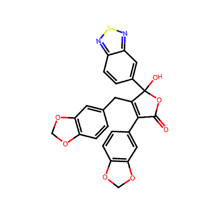 O=C1OC(O)(c2ccc3nsnc3c2)C(Cc2ccc3c(c2)OCO3)=C1c1ccc2c(c1)OCO2